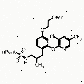 CCCCCS(=O)(=O)NCC(C)Cc1ccc(OCCOC)cc1Oc1ncc(C(F)(F)F)cc1Cl